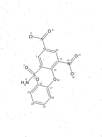 NS(=O)(=O)c1cc(C(=O)Cl)cc([N+](=O)[O-])c1Oc1ccccc1